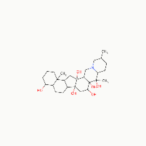 CC1CCC2N(C1)CC1C3(O)CC4C(CCC5C(O)CCCC54C)C3(O)CC(O)C1(O)C2(C)O